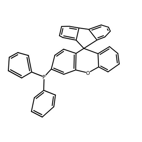 c1ccc(P(c2ccccc2)c2ccc3c(c2)Oc2ccccc2C32c3ccccc3-c3ccccc32)cc1